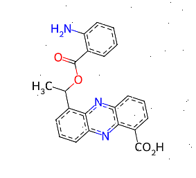 CC(OC(=O)c1ccccc1N)c1cccc2nc3c(C(=O)O)cccc3nc12